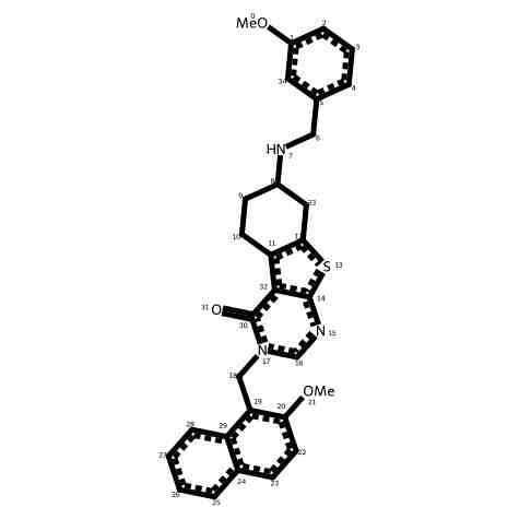 COc1cccc(CNC2CCc3c(sc4ncn(Cc5c(OC)ccc6ccccc56)c(=O)c34)C2)c1